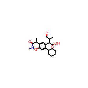 CC1C(=O)N(C)Oc2cc(C3CCCCC3)c(C(C(=O)O)C(C)C=O)cc21